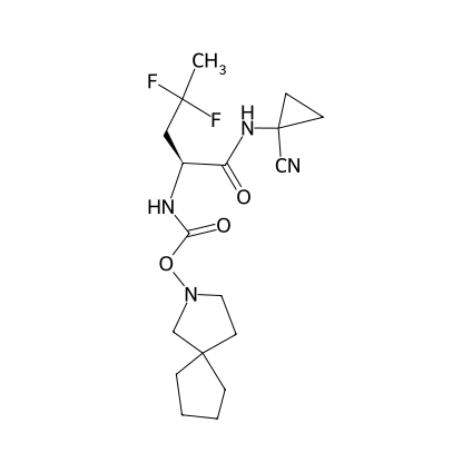 CC(F)(F)C[C@H](NC(=O)ON1CCC2(CCCC2)C1)C(=O)NC1(C#N)CC1